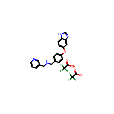 O=C(O)C(F)(F)F.O=C(O)C(F)(F)F.c1cncc(CNCc2ccc(Oc3ccc4[nH]cnc4c3)cc2)c1